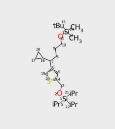 CC(C)[Si](OCc1cc(C(CCCO[Si](C)(C)C(C)(C)C)C2CC2)cs1)(C(C)C)C(C)C